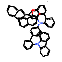 c1c(-c2ccccc2-n2c3c(c4ccccc42)C=CCC3)ccc(N(c2cccc(-c3ccc4ccccc4c3)c2)c2ccccc2-c2cccc3oc4c5ccccc5ccc4c23)c#1